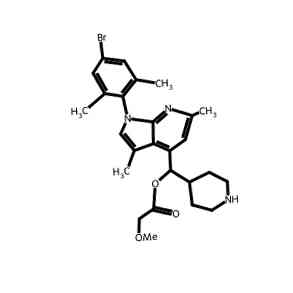 COCC(=O)OC(c1cc(C)nc2c1c(C)cn2-c1c(C)cc(Br)cc1C)C1CCNCC1